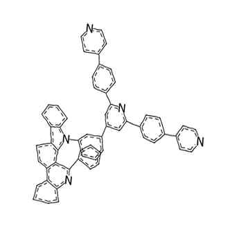 c1ccc(-c2nc3ccccc3c3ccc4c5ccccc5n(-c5cccc(-c6cc(-c7ccc(-c8ccncc8)cc7)nc(-c7ccc(-c8ccncc8)cc7)c6)c5)c4c23)cc1